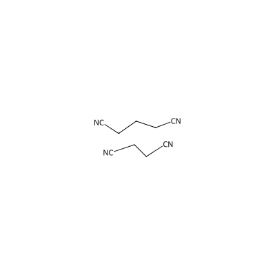 N#CCCC#N.N#CCCCC#N